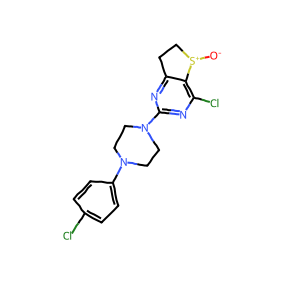 [O-][S+]1CCc2nc(N3CCN(c4ccc(Cl)cc4)CC3)nc(Cl)c21